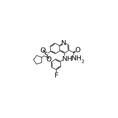 NC(=O)c1cnc2ccc(S(=O)(=O)C3CCCC3)cc2c1Nc1cccc(F)c1